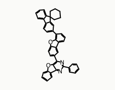 c1ccc(-c2nc(-c3ccc4oc5c(-c6ccc7c(c6)C6(CCCCC6)c6ccccc6-7)cccc5c4c3)c3oc4ccccc4c3n2)cc1